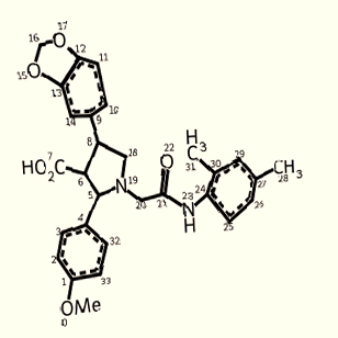 COc1ccc(C2C(C(=O)O)C(c3ccc4c(c3)OCO4)CN2CC(=O)Nc2ccc(C)cc2C)cc1